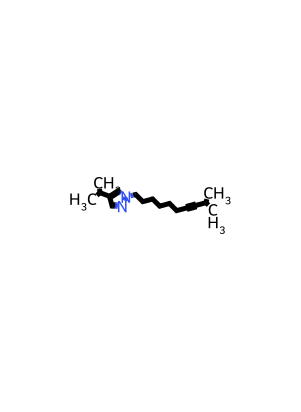 CC(C)C#CCCCCCCn1cc(C(C)C)cn1